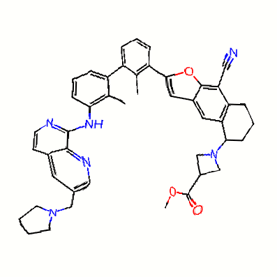 COC(=O)C1CN(C2CCCc3c2cc2cc(-c4cccc(-c5cccc(Nc6nccc7cc(CN8CCCC8)cnc67)c5C)c4C)oc2c3C#N)C1